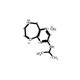 CC(C)Nc1cnc2c(n1)OCCNC2.Cl